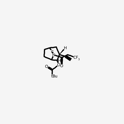 C#C[C@H]1CC2CCC([C@H]1OC(=O)C(C)(C)C)N(C(=O)CC(F)(F)F)C2